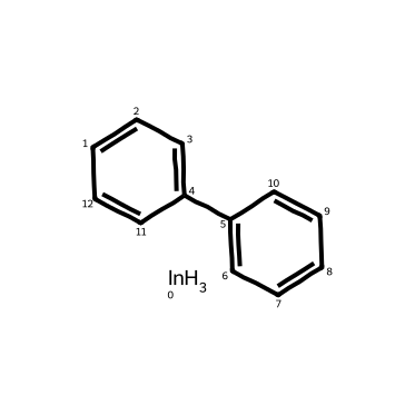 [InH3].c1ccc(-c2ccccc2)cc1